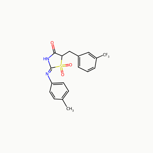 Cc1ccc(/N=C2/NC(=O)C(Cc3cccc(C(F)(F)F)c3)S2(=O)=O)cc1